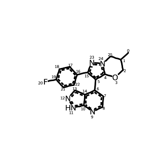 CC1COc2c(-c3ccnc4[nH]ncc34)c(-c3ccc(F)cc3)nn2C1